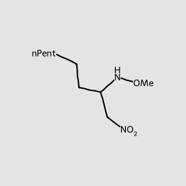 CCCCCCCC(C[N+](=O)[O-])NOC